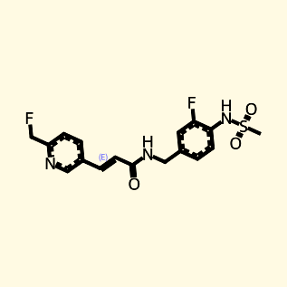 CS(=O)(=O)Nc1ccc(CNC(=O)/C=C/c2ccc(CF)nc2)cc1F